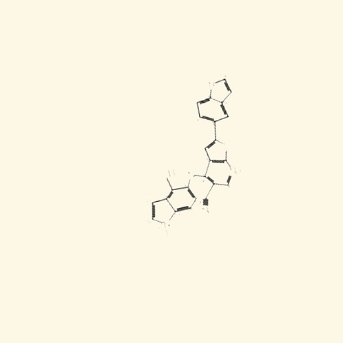 Cc1c(Nc2c(C#N)cnc3sc(-c4ccc5[nH]ccc5c4)cc23)ccc2[nH]ccc12